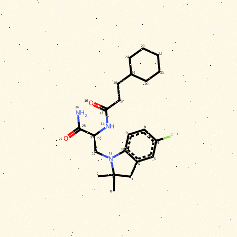 CC1(C)Cc2cc(F)ccc2N1C[C@H](NC(=O)[CH]CC1CCCCC1)C(N)=O